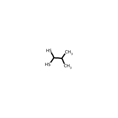 C[C](C)C(S)S